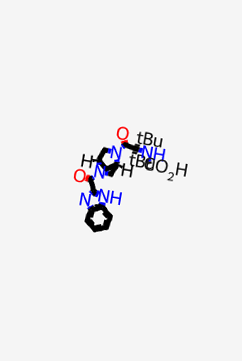 CC(C)(C)C(NC(=O)O)(C(=O)N1C[C@@H]2C[C@H]1CN2C(=O)c1nc2ccccc2[nH]1)C(C)(C)C